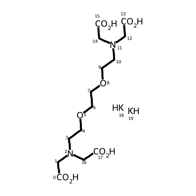 O=C(O)CN(CCOCCOCCN(CC(=O)O)CC(=O)O)CC(=O)O.[KH].[KH]